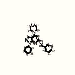 c1ccc(-n2ncc3c(N4CCOCC4)nc(OCc4cccnc4)nc32)cc1